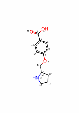 O=C(O)c1ccc(OC[C@@H]2CCCN2)cc1